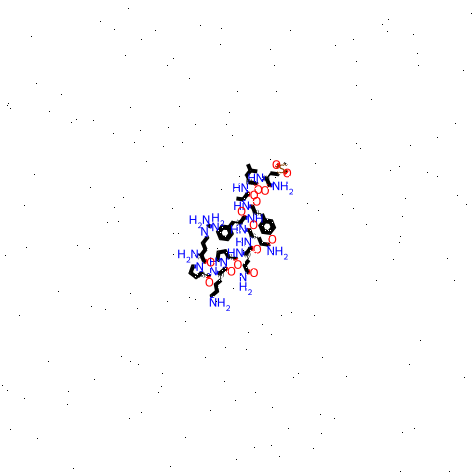 CC(C)C[C@H](NC(=O)C(C)NC(=O)[C@H](Cc1ccccc1)NC(=O)[C@H](Cc1ccccc1)NC(=O)[C@H](CCC(N)=O)NC(=O)[C@H](CCC(N)=O)NC(=O)[C@@H]1CCCN1C(=O)[C@H](CCCCN)NC(=O)[C@@H]1CCCN1C(=O)[C@@H](N)CCCN=C(N)N)C(=O)N[C@@H](CCS(C)(=O)=O)C(N)=O